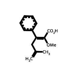 C=C(C)CC(=C(OC)C(=O)O)c1ccccc1